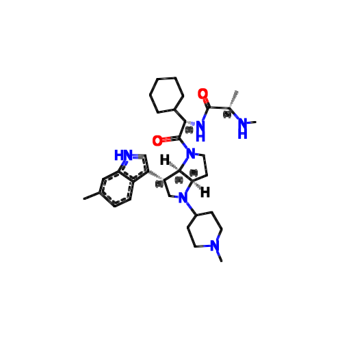 CN[C@@H](C)C(=O)N[C@H](C(=O)N1CC[C@@H]2[C@H]1[C@@H](c1c[nH]c3cc(C)ccc13)CN2C1CCN(C)CC1)C1CCCCC1